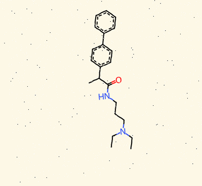 CCN(CC)CCCNC(=O)C(C)c1ccc(-c2ccccc2)cc1